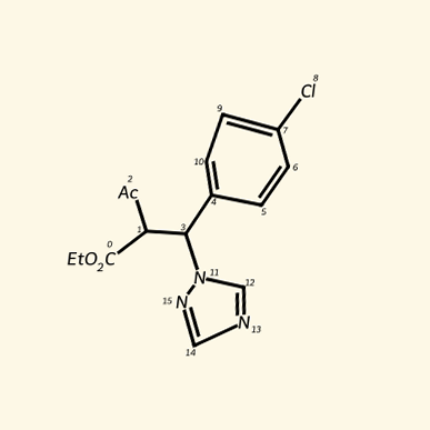 CCOC(=O)C(C(C)=O)C(c1ccc(Cl)cc1)n1cncn1